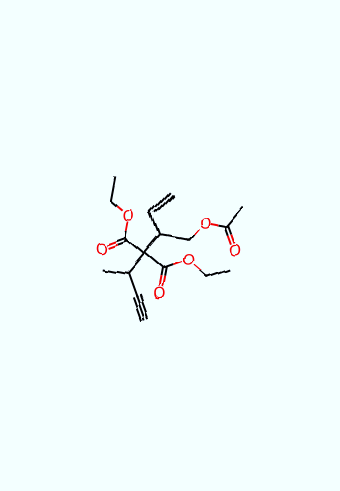 C#CC(C)C(C(=O)OCC)(C(=O)OCC)C(C=C)COC(C)=O